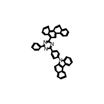 c1ccc(-c2nc(-c3ccc(-n4c5ccccc5c5c6ccccc6ccc54)cc3)nc(-c3cc4c5ccccc5ccc4c4ccccc34)n2)cc1